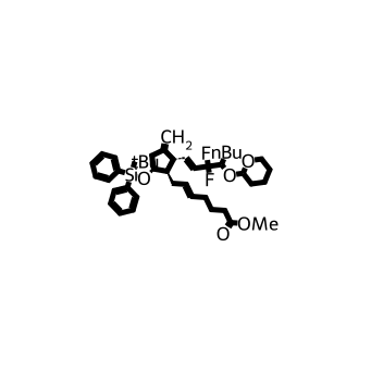 C=C1C[C@H](O[Si](c2ccccc2)(c2ccccc2)C(C)(C)C)[C@H](CC=CCCCC(=O)OC)[C@H]1C=CC(F)(F)C(CCCC)OC1CCCCO1